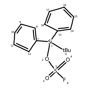 CC(C)(C)[Si](OS(=O)(=O)F)(c1ccccc1)c1ccccc1